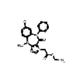 CCOC(=O)Cn1cnc2c1C(=O)N(c1ccccc1)c1cc(Cl)ccc1N2C